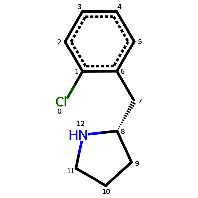 Clc1ccccc1C[C@@H]1CCCN1